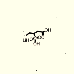 [CH2]CC(CC(=O)O)S(=O)(=O)O.[LiH]